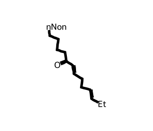 CCC=CCCC=CC(=O)CCCCCCCCCCCCC